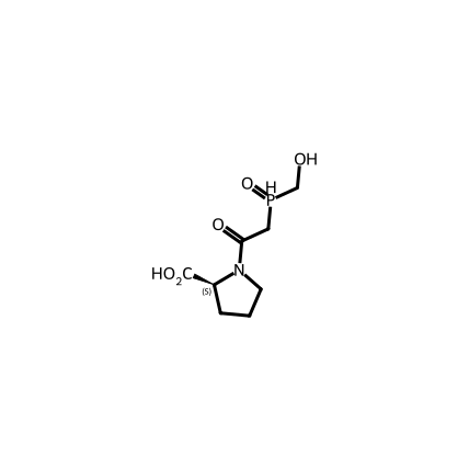 O=C(O)[C@@H]1CCCN1C(=O)C[PH](=O)CO